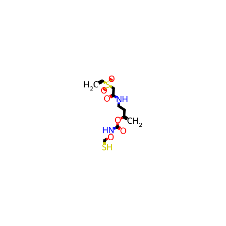 C=CS(=O)(=O)CC(=O)NCCC(=C)OC(=O)NOCS